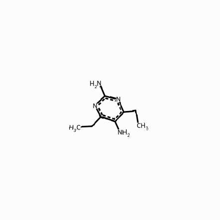 CCc1nc(N)nc(CC)c1N